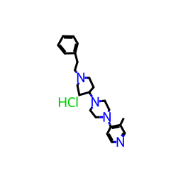 Cc1cnccc1N1CCN(C2CCN(CCc3ccccc3)CC2)CC1.Cl